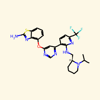 CC(C)N1CCCC[C@H]1CNc1nc(C(F)(F)F)ccc1-c1cc(Oc2cccc3sc(N)nc23)ncn1